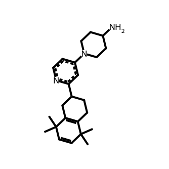 CC1(C)C=CC(C)(C)C2=C1CCC(c1cc(N3CCC(N)CC3)ccn1)C2